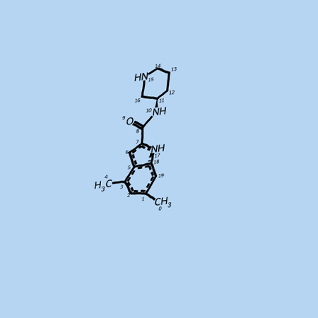 Cc1cc(C)c2cc(C(=O)N[C@@H]3CCCNC3)[nH]c2c1